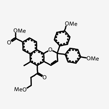 COCCC(=O)c1c2c(c3ccc(C(=O)OC)cc3c1C)OC(c1ccc(OC)cc1)(c1ccc(OC)cc1)C=C2